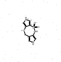 O=S1(=O)Nc2c[nH]cc2COc2c[nH]cc21